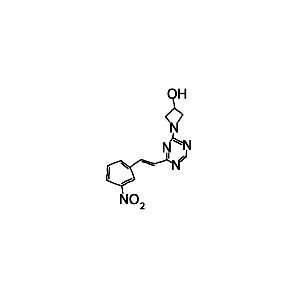 O=[N+]([O-])c1cccc(C=Cc2ncnc(N3CC(O)C3)n2)c1